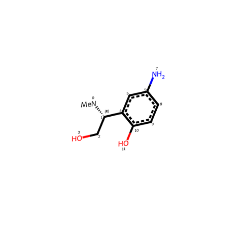 CN[C@@H](CO)c1cc(N)ccc1O